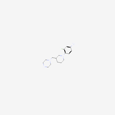 CN1CCN(CC2CCCN(c3ccc(N)cc3F)C2)CC1